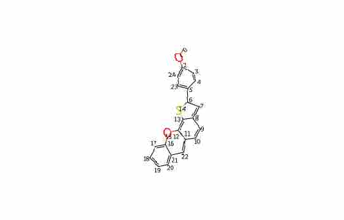 COc1ccc(C2C=c3ccc4c(c3S2)Oc2ccccc2C=4)cc1